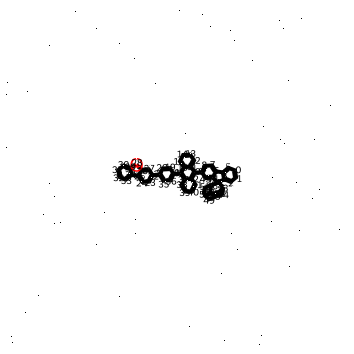 c1ccc2c(c1)-c1ccc(-c3c4ccccc4c(-c4ccc(-c5ccc6c(c5)oc5ccccc56)cc4)c4ccccc34)cc1C21C2CC3CC(C2)CC1C3